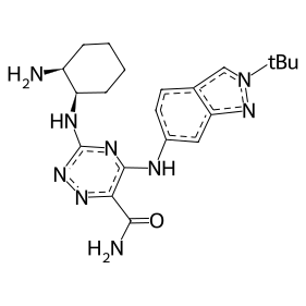 CC(C)(C)n1cc2ccc(Nc3nc(N[C@@H]4CCCC[C@@H]4N)nnc3C(N)=O)cc2n1